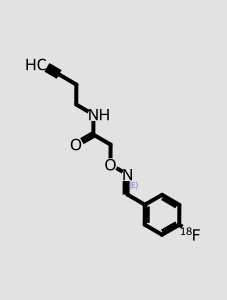 C#CCCNC(=O)CO/N=C/c1ccc([18F])cc1